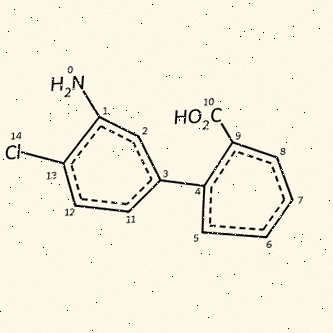 Nc1cc(-c2ccccc2C(=O)O)ccc1Cl